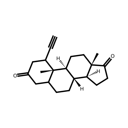 C#CC1CC(=O)CC2CC[C@@H]3[C@H](CC[C@]4(C)C(=O)CC[C@@H]34)[C@@]12C